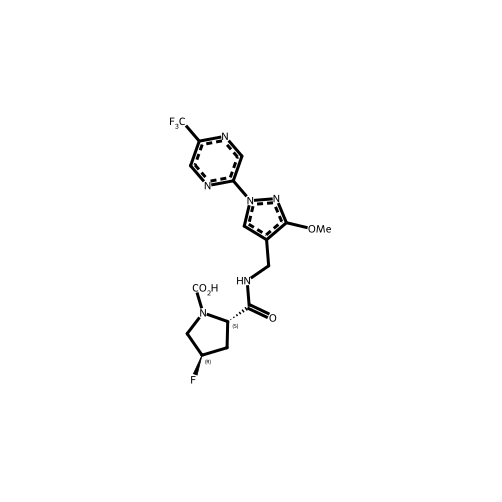 COc1nn(-c2cnc(C(F)(F)F)cn2)cc1CNC(=O)[C@@H]1C[C@@H](F)CN1C(=O)O